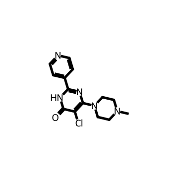 CN1CCN(c2nc(-c3ccncc3)[nH]c(=O)c2Cl)CC1